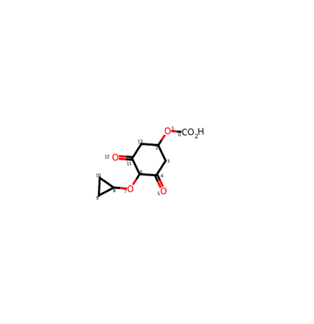 O=C(O)OC1CC(=O)C(OC2CC2)C(=O)C1